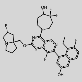 CCc1c(F)ccc2cc(O)cc(-c3ncc4c(N5CCC(O)C(F)(F)CC5)nc(OC[C@@]56CCCN5C[C@H](F)C6)nc4c3F)c12